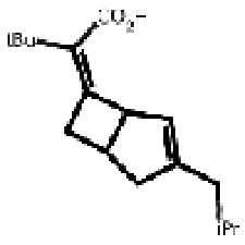 CC(C)CC1=CC2C(=C(C(=O)O)C(C)(C)C)CC2C1